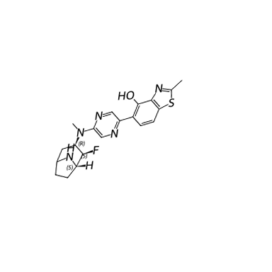 Cc1nc2c(O)c(-c3cnc(N(C)[C@@H]4CC5CC[C@H](N5)[C@@H]4F)cn3)ccc2s1